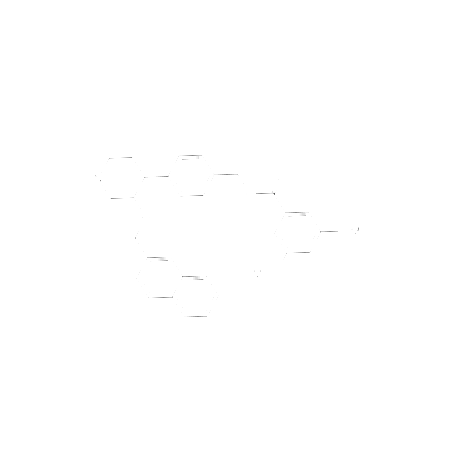 COc1cc(OC)cc(C(=O)OCc2ccc(C3CCNCC3OCc3ccc4ccccc4c3)cc2)c1.Cl